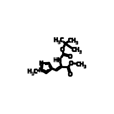 COC(=O)/C(=C/c1cnn(C)c1)NC(=O)OC(C)(C)C